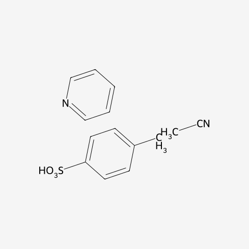 CC#N.Cc1ccc(S(=O)(=O)O)cc1.c1ccncc1